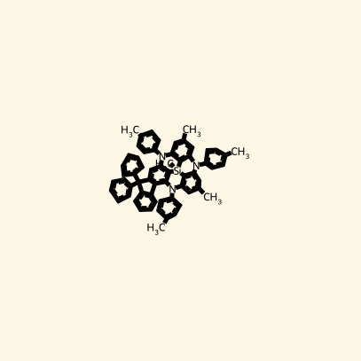 Cc1ccc(N2c3cc(C)cc4c3[Si]3(C)c5c2cc(C)cc5N(c2ccc(C)cc2)c2c5c(cc(c23)N4c2ccc(C)cc2)C(c2ccccc2)(c2ccccc2)c2ccccc2-5)cc1